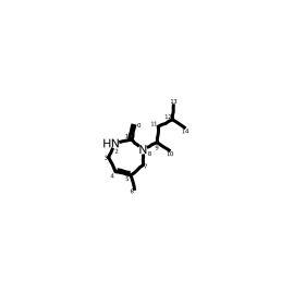 C=C1NCC=C(C)CN1C(C)CC(C)C